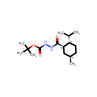 CC(C)[C@@H]1CC[C@@H](C)C[C@H]1C(=O)NNC(=O)OC(C)(C)C